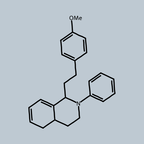 COc1ccc(CCC2C3=CC=CCC3CCN2c2ccccc2)cc1